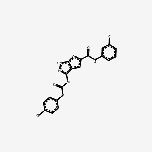 O=C(Cc1ccc(Cl)cc1)Nc1n[nH]c2sc(C(=O)Nc3cccc(Cl)c3)cc12